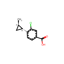 C[C@@H]1C[C@H]1c1ccc(C(=O)O)cc1Cl